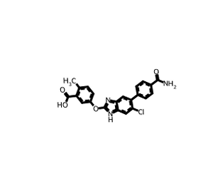 Cc1ccc(Oc2nc3cc(-c4ccc(C(N)=O)cc4)c(Cl)cc3[nH]2)cc1C(=O)O